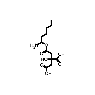 CCCCCC(N)OC(=O)CC(O)(CC(=O)O)C(=O)O